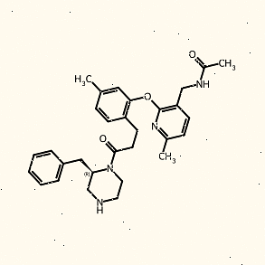 CC(=O)NCc1ccc(C)nc1Oc1cc(C)ccc1CCC(=O)N1CCNC[C@H]1Cc1ccccc1